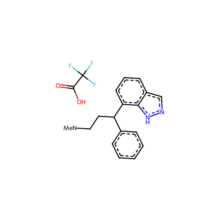 CNCCC(c1ccccc1)c1cccc2cn[nH]c12.O=C(O)C(F)(F)F